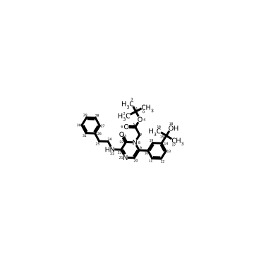 CC(C)(C)OC(=O)Cn1c(-c2cccc(C(C)(C)O)c2)cnc(NCCc2ccccc2)c1=O